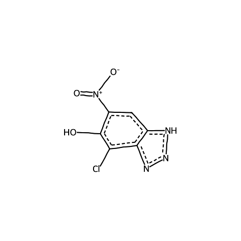 O=[N+]([O-])c1cc2[nH]nnc2c(Cl)c1O